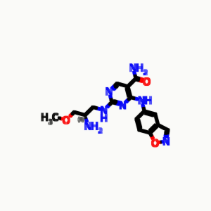 COC[C@H](N)CNc1ncc(C(N)=O)c(Nc2ccc3oncc3c2)n1